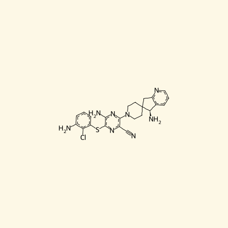 N#Cc1nc(Sc2cccc(N)c2Cl)c(N)nc1N1CCC2(CC1)Cc1ncccc1[C@H]2N